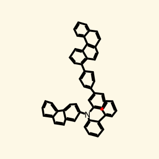 c1ccc(-c2ccccc2N(c2cccc(-c3ccc(-c4cccc5c4ccc4ccc6ccccc6c45)cc3)c2)c2ccc3c(ccc4ccccc43)c2)cc1